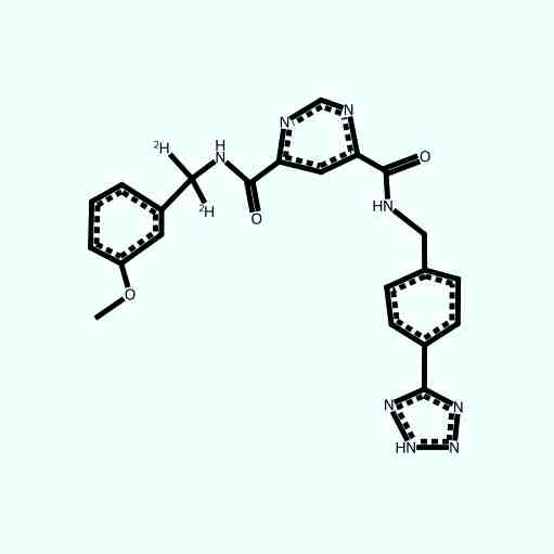 [2H]C([2H])(NC(=O)c1cc(C(=O)NCc2ccc(-c3nn[nH]n3)cc2)ncn1)c1cccc(OC)c1